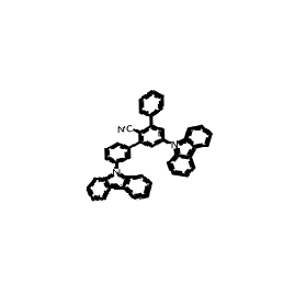 N#Cc1c(-c2ccccc2)cc(-n2c3ccccc3c3ccccc32)cc1-c1cccc(-n2c3ccccc3c3ccccc32)c1